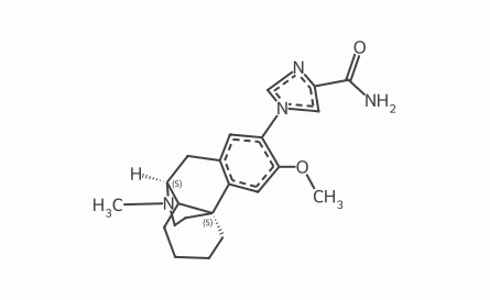 COc1cc2c(cc1-n1cnc(C(N)=O)c1)C[C@H]1C3CCCC[C@@]23CCN1C